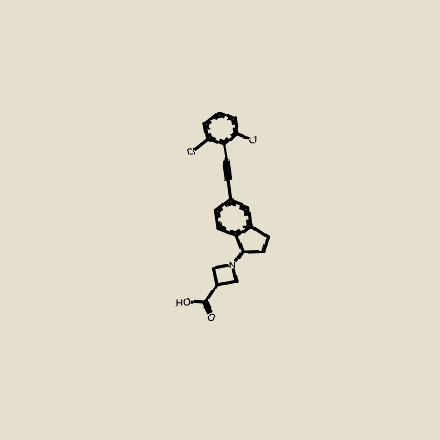 O=C(O)C1CN(C2CCc3cc(C#Cc4c(Cl)cccc4Cl)ccc32)C1